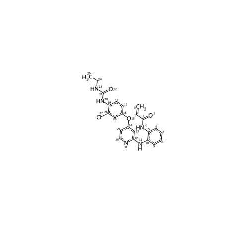 C=CC(=O)Nc1ccccc1Nc1cc(Oc2ccc(NC(=O)NCC)c(Cl)c2)ccn1